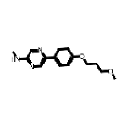 CNc1cnc(C2=CC=C(OCCCOC)CC2)cn1